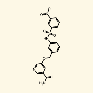 NC(=O)c1cncc(OCc2cccc(NS(=O)(=O)c3cccc([N+](=O)[O-])c3)c2)c1